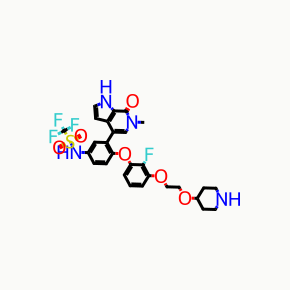 Cn1cc(-c2cc(NS(=O)(=O)C(F)(F)F)ccc2Oc2cccc(OCCOC3CCNCC3)c2F)c2cc[nH]c2c1=O